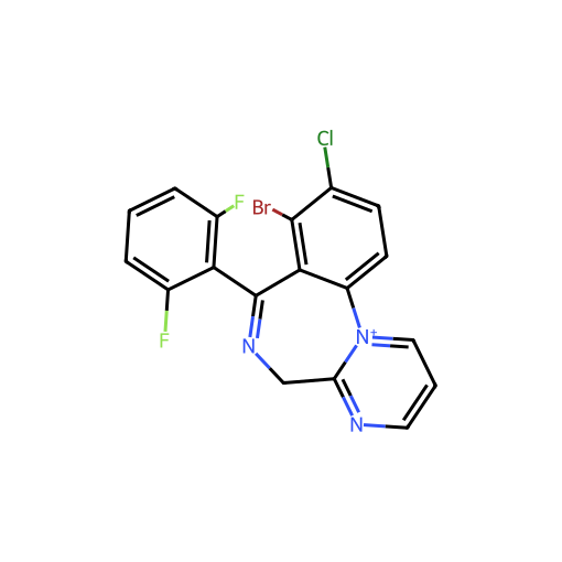 Fc1cccc(F)c1C1=NCc2nccc[n+]2-c2ccc(Cl)c(Br)c21